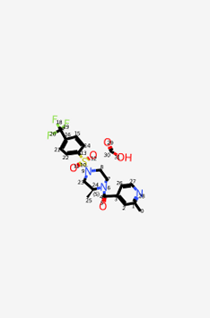 Cc1cc(C(=O)N2CCN(S(=O)(=O)c3ccc(C(F)(F)F)cc3)C[C@@H]2C)ccn1.O=CO